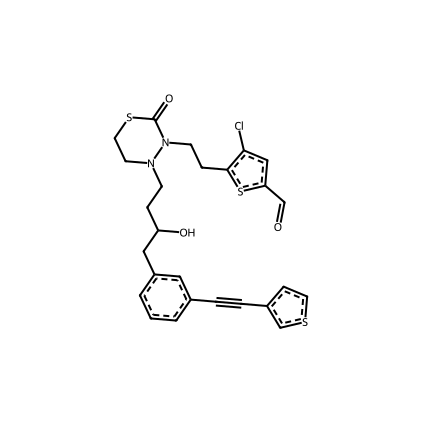 O=Cc1cc(Cl)c(CCN2C(=O)SCCN2CCC(O)Cc2cccc(C#Cc3ccsc3)c2)s1